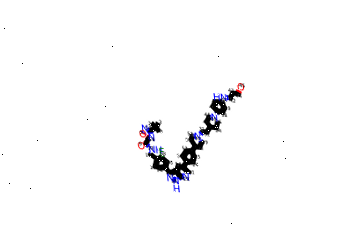 CC(C)(C)c1noc(C(=O)NCc2ccc(-c3n[nH]c4ncc(-c5ccc(C6CCN(CCC7CCN(c8ccc(NCCC=O)cc8)CC7)CC6)cc5)cc34)cc2F)n1